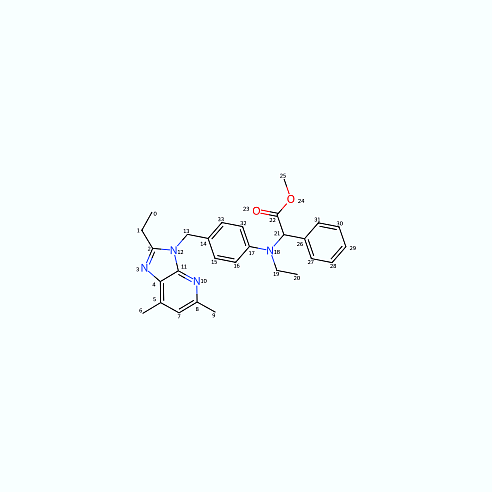 CCc1nc2c(C)cc(C)nc2n1Cc1ccc(N(CC)C(C(=O)OC)c2ccccc2)cc1